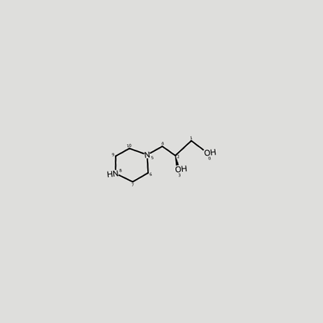 OC[C@@H](O)CN1CCNCC1